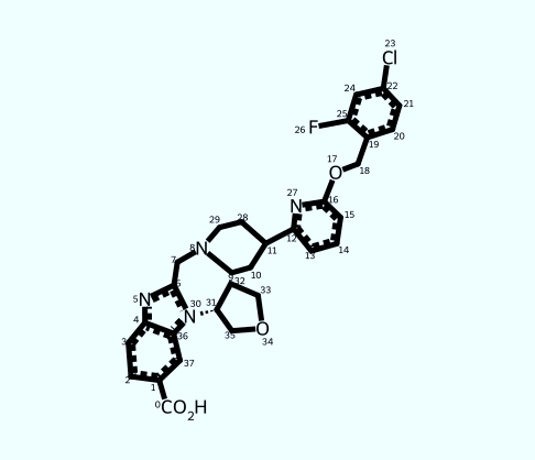 O=C(O)c1ccc2nc(CN3CCC(c4cccc(OCc5ccc(Cl)cc5F)n4)CC3)n([C@@H]3CCOC3)c2c1